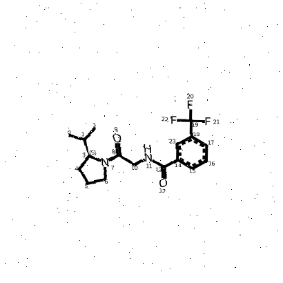 CC(C)[C@@H]1CCCN1C(=O)CNC(=O)c1cccc(C(F)(F)F)c1